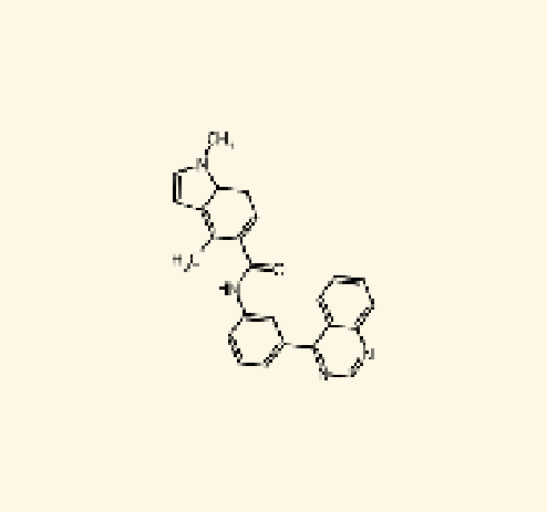 CC1=C2C=CN(C)C2CC=C1C(=O)Nc1cccc(-c2ncnc3ccccc23)c1